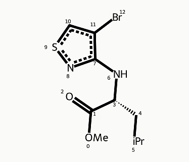 COC(=O)[C@@H](CC(C)C)Nc1nscc1Br